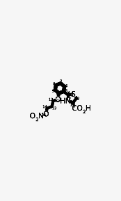 O=C(O)C1CSC(c2ccccc2OCCCO[N+](=O)[O-])N1